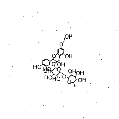 C[C@H]1O[C@H](OC[C@H]2O[C@@H](OC3(O)Cc4c(O)cc(OCCO)cc4OC3c3ccc(O)c(O)c3)[C@H](O)[C@@H](O)[C@@H]2O)[C@@H](O)[C@@H](O)[C@@H]1O